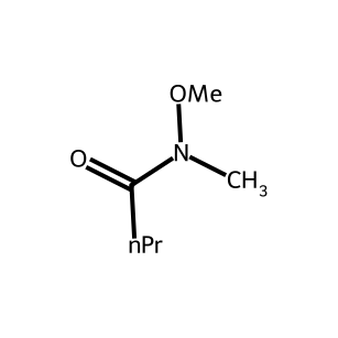 [CH2]CCC(=O)N(C)OC